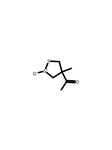 CC(=O)C1(C)CS[S+]([O-])C1